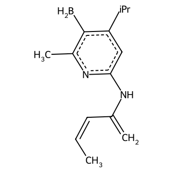 Bc1c(C(C)C)cc(NC(=C)/C=C\C)nc1C